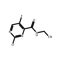 N#CCNC(=O)c1nc(Cl)ncc1F